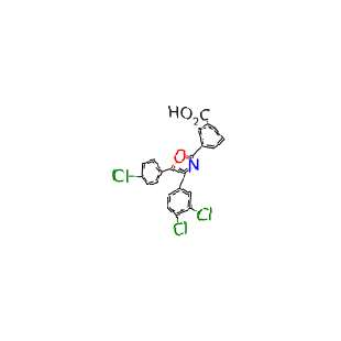 O=C(O)c1cccc(-c2nc(-c3ccc(Cl)c(Cl)c3)c(-c3ccc(Cl)cc3)o2)c1